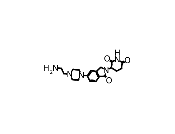 NCCN1CCN(c2ccc3c(c2)CN(C2CCC(=O)NC2=O)C3=O)CC1